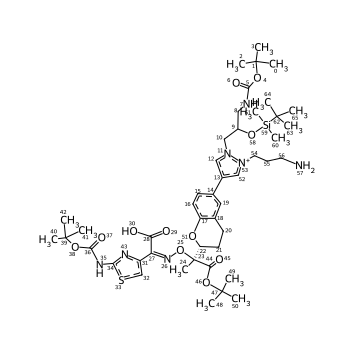 CC(C)(C)OC(=O)NCC(Cn1cc(-c2ccc3c(c2)CC[C@H](C(C)(O/N=C(\C(=O)O)c2csc(NC(=O)OC(C)(C)C)n2)C(=O)OC(C)(C)C)O3)c[n+]1CCCN)O[Si](C)(C)C(C)(C)C